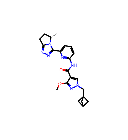 COc1nn(CC23CC(C2)C3)cc1C(=O)Nc1cccc(-c2nnc3n2[C@@H](C)CC3)n1